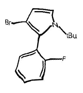 CC(C)(C)n1ccc(Br)c1-c1ccccc1F